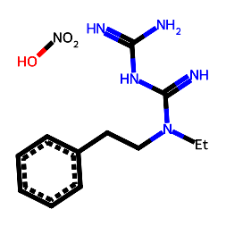 CCN(CCc1ccccc1)C(=N)NC(=N)N.O=[N+]([O-])O